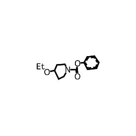 CCOC1CCN(C(=O)Oc2ccccc2)CC1